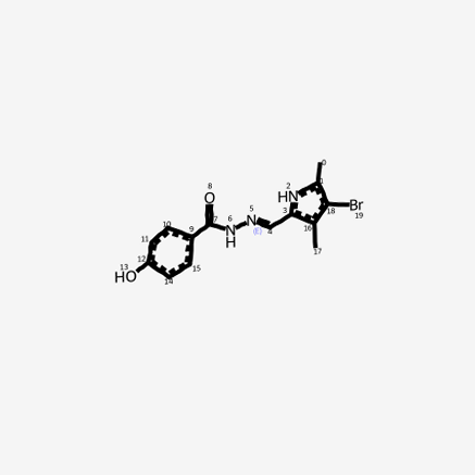 Cc1[nH]c(/C=N/NC(=O)c2ccc(O)cc2)c(C)c1Br